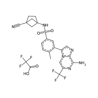 Cc1ccc(S(=O)(=O)NC23CCC(C#N)(C2)C3)cc1-c1cnc2c(N)nc(C(F)(F)F)cn12.O=C(O)C(F)(F)F